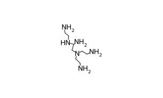 NCCN[C@H](N)CN(CCN)CCN